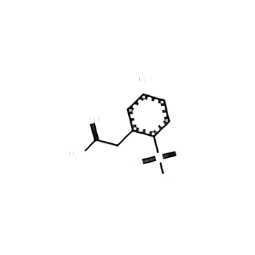 C=C(C)Cc1ccccc1S(=O)(=O)[O-].[Rb+]